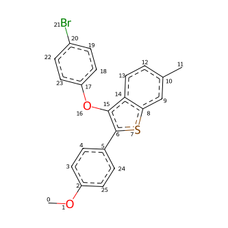 COc1ccc(-c2sc3cc(C)ccc3c2Oc2ccc(Br)cc2)cc1